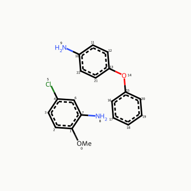 COc1ccc(Cl)cc1N.Nc1ccc(Oc2ccccc2)cc1